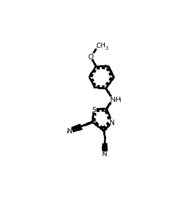 COc1ccc(Nc2nc(C#N)c(C#N)s2)cc1